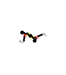 CCCCCC(=O)OC(Cc1ccccc1)c1cc2sc3cc4c(cc3c2s1)sc1cc(C(Cc2ccccc2)OC(=O)CCCCC)sc14